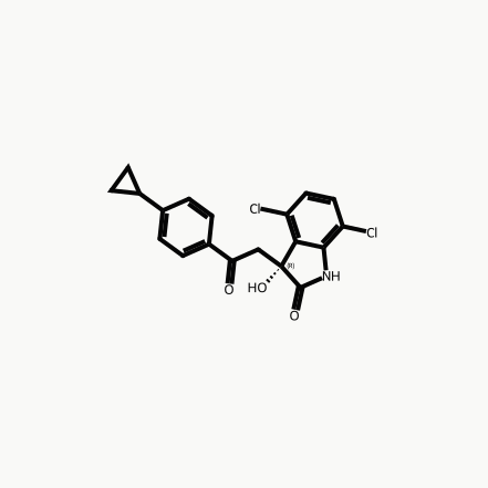 O=C(C[C@]1(O)C(=O)Nc2c(Cl)ccc(Cl)c21)c1ccc(C2CC2)cc1